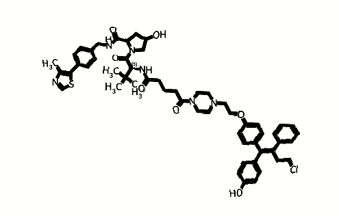 Cc1ncsc1-c1ccc(CNC(=O)C2CC(O)CN2C(=O)[C@@H](NC(=O)CCCC(=O)N2CCN(CCOc3ccc(C(=C(CCCl)c4ccccc4)c4ccc(O)cc4)cc3)CC2)C(C)(C)C)cc1